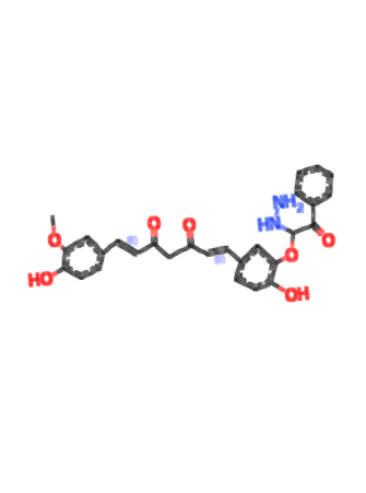 COc1cc(/C=C/C(=O)CC(=O)/C=C/c2ccc(O)c(OC(NN)C(=O)c3ccccc3)c2)ccc1O